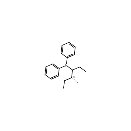 CCC([C@H](C)CC)N(c1ccccc1)c1ccccc1